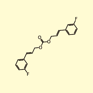 O=C(OCC=Cc1cccc(F)c1)OCC=Cc1cccc(F)c1